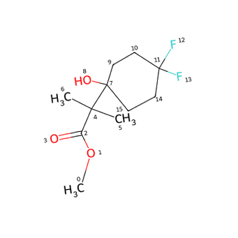 COC(=O)C(C)(C)C1(O)CCC(F)(F)CC1